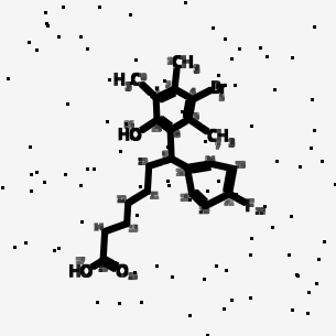 Cc1c(C)c(Br)c(C)c(C(CCCCCC(=O)O)c2ccc(F)cc2)c1O